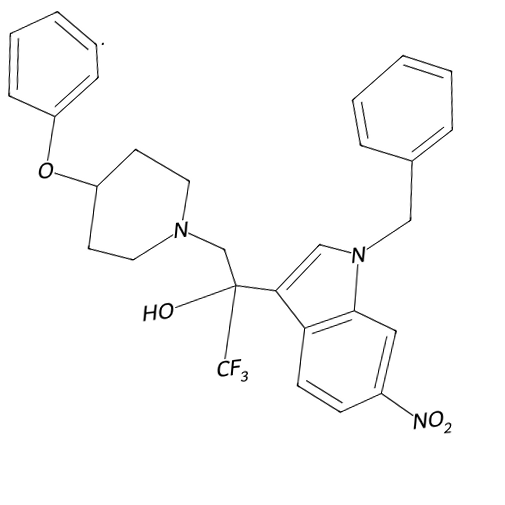 O=[N+]([O-])c1ccc2c(C(O)(CN3CCC(Oc4c[c]ccc4)CC3)C(F)(F)F)cn(Cc3ccccc3)c2c1